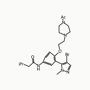 CC(=O)N1CCN(CCOc2ccc(NC(=O)CC(C)C)cc2-c2c(Br)cnn2C)CC1